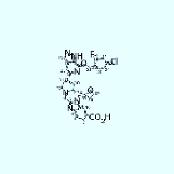 O=C(O)c1ccc2nc(CN3CC=C(c4cc5cn[nH]c5c(OCc5ccc(Cl)cc5F)n4)CC3)n(CC3CCO3)c2c1